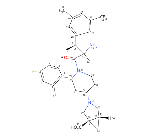 Cc1cc(F)ccc1[C@H]1C[C@@H](N2C[C@@H]3C[C@]3(C(=O)O)C2)CCN1C(=O)C(C)(N)[C@@H](C)c1cc(C(F)(F)F)cc(C(F)(F)F)c1